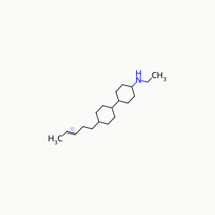 C/C=C/CCC1CCC(C2CCC(NCC)CC2)CC1